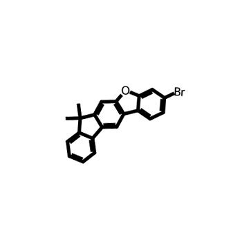 CC1(C)c2ccccc2-c2cc3c(cc21)oc1cc(Br)ccc13